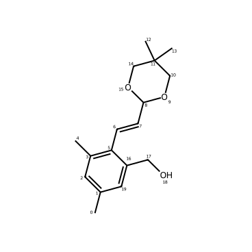 Cc1cc(C)c(C=CC2OCC(C)(C)CO2)c(CO)c1